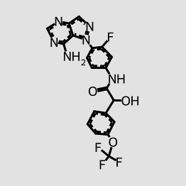 Nc1ncnc2cnn(-c3ccc(NC(=O)C(O)c4cccc(OC(F)(F)F)c4)cc3F)c12